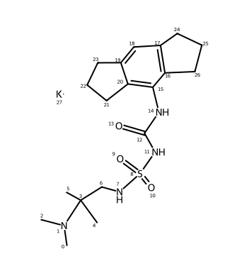 CN(C)C(C)(C)CNS(=O)(=O)NC(=O)Nc1c2c(cc3c1CCC3)CCC2.[K]